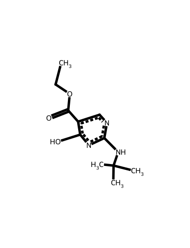 CCOC(=O)c1cnc(NC(C)(C)C)nc1O